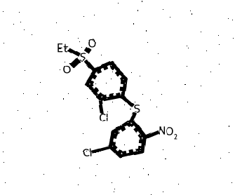 CCS(=O)(=O)c1ccc(Sc2cc(Cl)ccc2[N+](=O)[O-])c(Cl)c1